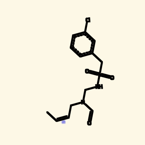 C/C=C\CN(C=O)CNS(=O)(=O)Cc1cccc(Cl)c1